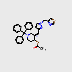 CC(=O)SC1CCN(C(c2ccccc2)(c2ccccc2)c2ccccc2)C/C1=C\c1ccn(Cc2cscn2)n1